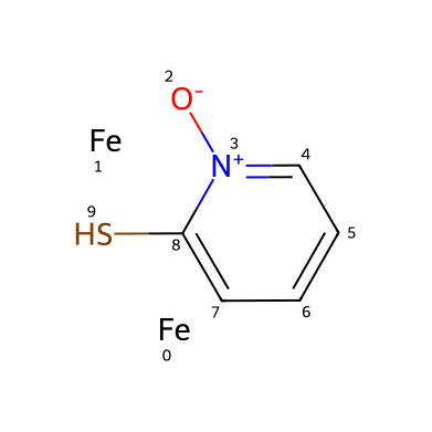 [Fe].[Fe].[O-][n+]1ccccc1S